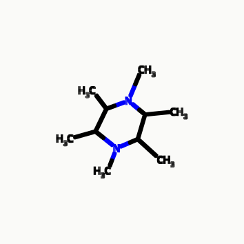 CC1C(C)N(C)C(C)C(C)N1C